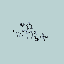 C[C@H]1OCC[C@@H]1Sc1nn([C@@H]2O[C@H](COS(N)(=O)=O)[C@@H](O)[C@H]2O)c2ncnc(N)c12